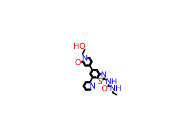 CCNC(=O)Nc1nc2cc(-c3ccn(CCO)c(=O)c3)cc(-c3ccccn3)c2s1